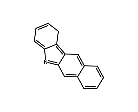 C1=CCC2=c3cc4ccccc4cc3=NC2=C1